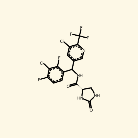 O=C1NC[C@@H](C(=O)NC(c2cnc(C(F)(F)F)c(Cl)c2)c2ccc(F)c(Cl)c2F)N1